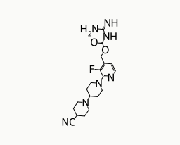 N#CC1CCN(C2CCN(c3nccc(COC(=O)NC(=N)N)c3F)CC2)CC1